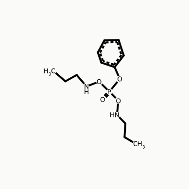 CCCNOP(=O)(ONCCC)Oc1ccccc1